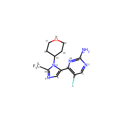 Nc1ncc(F)c(-c2cnc(C(F)(F)F)n2C2CCOCC2)n1